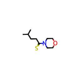 CC(C)CCC(=S)N1CCOCC1